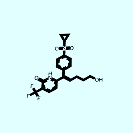 O=c1[nH]c(/C(=C/CCCO)c2ccc(S(=O)(=O)C3CC3)cc2)ccc1C(F)(F)F